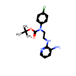 CC(C)(C)OC(=O)N(CCNc1ncccc1N)c1ccc(Cl)cc1